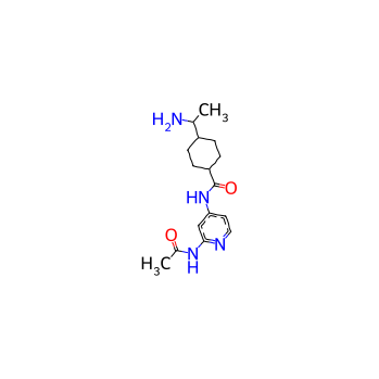 CC(=O)Nc1cc(NC(=O)C2CCC(C(C)N)CC2)ccn1